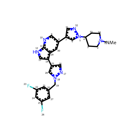 CNN1CCC(n2cc(-c3cnc4[nH]cc(-c5cnn(Cc6cc(F)cc(F)c6)c5)c4c3)cn2)CC1